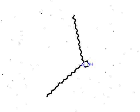 CCCCCCCCCCCCCCCCCCC1CNCCN1CCCCCCCCCCCCCCCCCC